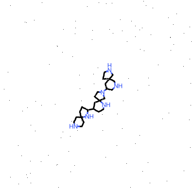 C1CC2(CCN1)CCC(C1CCNC3(CCN(C4CNCC5(CCNC5)C4)C3)C1)N2